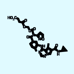 Cc1ccc(C(=O)N(C(=O)OCOC(=O)CCC(=O)O)c2ccon2)cc1Nc1ncnn2cc(C(=O)NC3CC3)c(C)c12